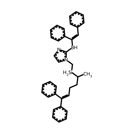 CC(CCC=C(c1ccccc1)c1ccccc1)[SiH2]Cn1ccnc1BC(=Cc1ccccc1)c1ccccc1